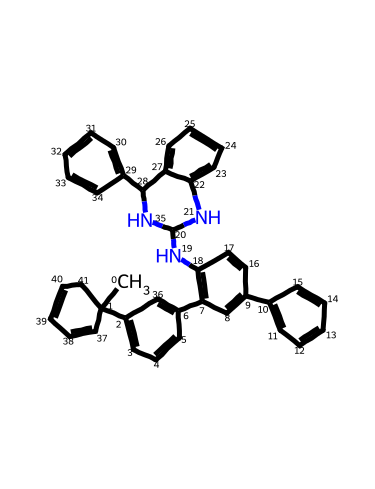 CC1(c2cccc(-c3cc(-c4ccccc4)ccc3NC3Nc4ccccc4C(c4ccccc4)N3)c2)C=CC=CC1